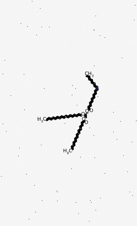 CCCCCCCC/C=C\CCCCCCCCCC(=O)OC[C@H](COC(=O)CCCCCCCCCCCCCCC)OCCCCCCCCCCCCCCCCCC